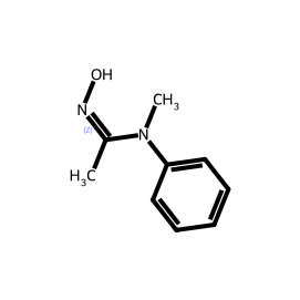 C/C(=N/O)N(C)c1ccccc1